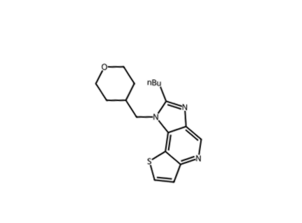 CCCCc1nc2cnc3ccsc3c2n1CC1CCOCC1